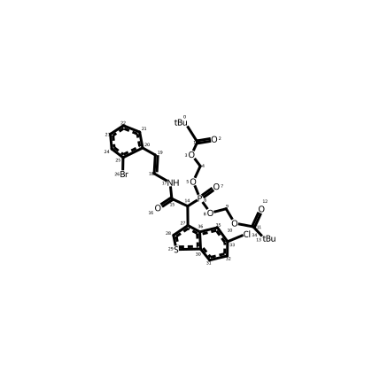 CC(C)(C)C(=O)OCOP(=O)(OCOC(=O)C(C)(C)C)C(C(=O)NC=Cc1ccccc1Br)c1csc2ccc(Cl)cc12